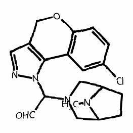 CN1C2CCC1CN(C(C=O)n1ncc3c1-c1cc(Cl)ccc1OC3)C2